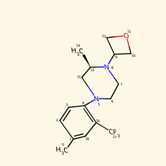 Cc1ccc(N2CCN(C3COC3)[C@H](C)C2)c(C(F)(F)F)c1